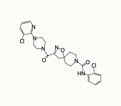 O=C(Nc1ccccc1Cl)N1CCC2(CC1)CC(C(=O)N1CCN(c3ncccc3Cl)CC1)=NO2